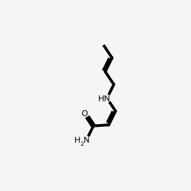 CC=CCN/C=C\C(N)=O